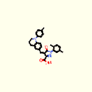 Cc1ccc(N2CCCc3cc(/C=C4\C(=O)N(c5cc(C)ccc5C)N=C4C(=O)O)ccc32)cc1